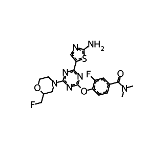 CN(C)C(=O)c1ccc(Oc2nc(-c3cnc(N)s3)nc(N3CCOC(CF)C3)n2)c(F)c1